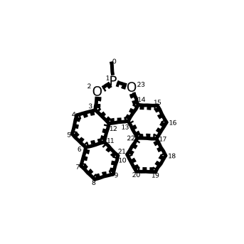 Cp1oc2ccc3ccccc3c2c2c(ccc3ccccc32)o1